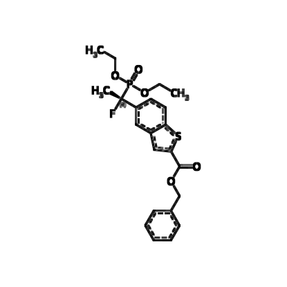 CCOP(=O)(OCC)[C@@](C)(F)c1ccc2sc(C(=O)OCc3ccccc3)cc2c1